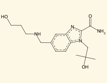 CC(C)(O)Cn1c(C(N)=O)nc2cc(CNCCCO)ccc21